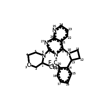 CC1COCCN1c1nc(N2CCC2c2ccccc2C(F)(F)F)c2cccnc2n1